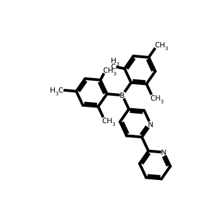 Cc1cc(C)c(B(c2ccc(-c3ccccn3)nc2)c2c(C)cc(C)cc2C)c(C)c1